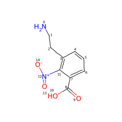 NCCc1cccc(C(=O)O)c1[N+](=O)[O-]